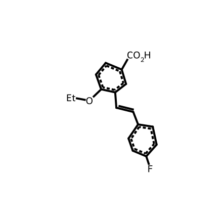 CCOc1ccc(C(=O)O)cc1C=Cc1ccc(F)cc1